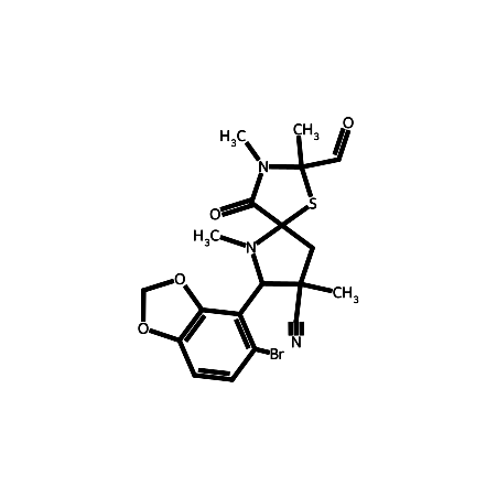 CN1C(=O)C2(CC(C)(C#N)C(c3c(Br)ccc4c3OCO4)N2C)SC1(C)C=O